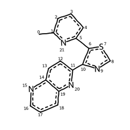 Cc1cccc(-c2scnc2-c2ccc3ncccc3n2)n1